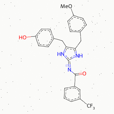 COc1ccc(Cc2[nH]/c(=N\C(=O)c3cccc(C(F)(F)F)c3)[nH]c2Cc2ccc(O)cc2)cc1